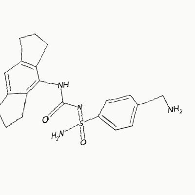 NCc1ccc(S(N)(=O)=NC(=O)Nc2c3c(cc4c2CCC4)CCC3)cc1